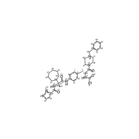 CCC(=O)N[C@H](Cc1ccc(NC(=O)[C@](C)(NC(=O)c2ccnn2C)C2CCCCCC2)cc1)C(=O)N1CCN(Cc2ccccc2)CC1